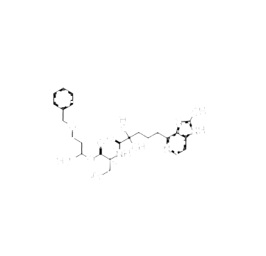 Cc1nc2c(CCCC(C)(C)C(=O)N[C@@H](CC(C)C)C(=O)OC(C)CCOCc3ccccc3)nccc2[nH]1